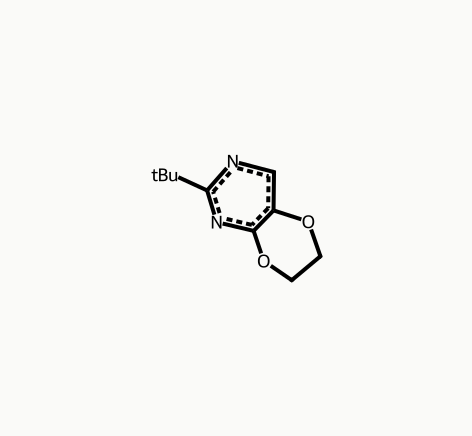 CC(C)(C)c1ncc2c(n1)OCCO2